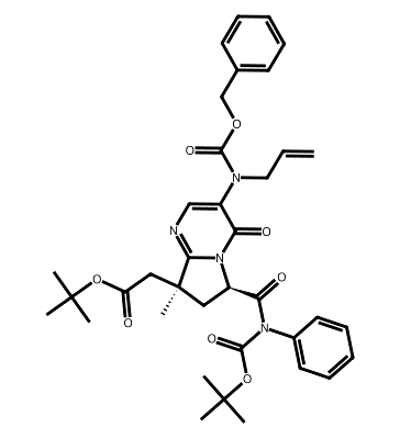 C=CCN(C(=O)OCc1ccccc1)c1cnc2n(c1=O)[C@@H](C(=O)N(C(=O)OC(C)(C)C)c1ccccc1)C[C@@]2(C)CC(=O)OC(C)(C)C